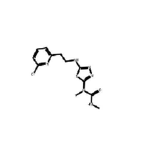 CNC(=O)N(C)c1nnc(NCCc2cccc(Cl)n2)s1